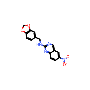 O=[N+]([O-])c1ccc2nc(NCc3ccc4c(c3)OCO4)ncc2c1